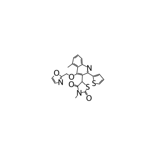 Cc1cccc2nc(-c3cccs3)c(C3SC(=O)N(C)C3=O)c(OCc3ncco3)c12